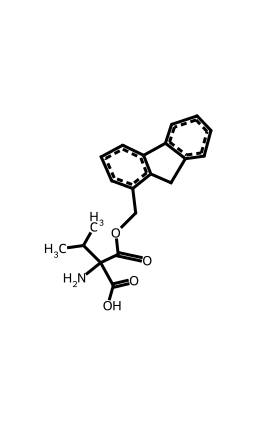 CC(C)C(N)(C(=O)O)C(=O)OCc1cccc2c1Cc1ccccc1-2